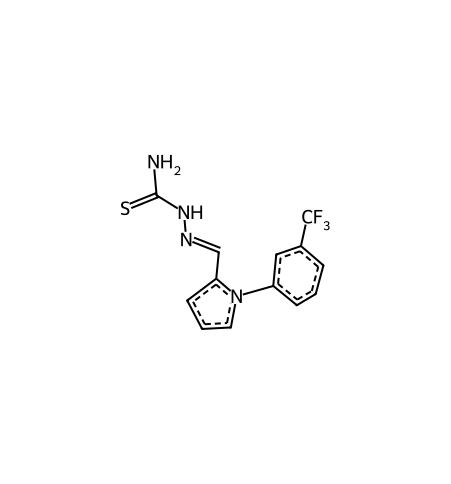 NC(=S)NN=Cc1cccn1-c1cccc(C(F)(F)F)c1